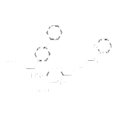 CCCC[C@@H](NC(=O)CCCCNc1ccccn1)C(=O)NC(CC(=O)O)c1ccc(-c2ccccc2)cc1